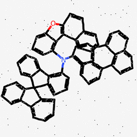 c1ccc(-c2cccc3cccc(-c4ccc(N(c5cccc6c5-c5ccccc5C65c6ccccc6-c6ccccc65)c5cccc6oc7ccc8ccccc8c7c56)cc4)c23)cc1